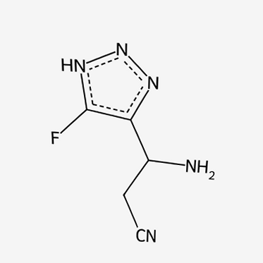 N#CCC(N)c1nn[nH]c1F